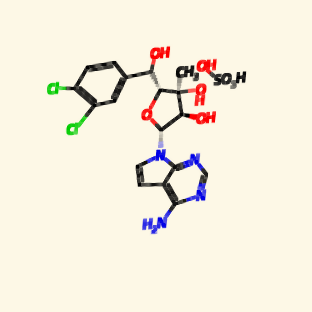 C[C@@]1(O)[C@@H](C(O)c2ccc(Cl)c(Cl)c2)O[C@@H](n2ccc3c(N)ncnc32)[C@@H]1O.O=S(=O)(O)O